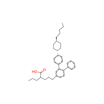 CCCCC[C@H]1CC[C@H](c2ccc(-c3cc(CCCC(CCC)C(=O)O)ccc3-c3ccccc3)cc2)CC1